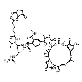 CNC(=O)c1cc(C(=O)N(C)[C@@H](C)C(=O)O[C@H]2CC(=O)N(C)c3cc(cc(OC)c3Cl)C/C(C)=C/C=C/[C@@H](OC)[C@@]3(O)C[C@H](OC(=O)N3)[C@@H](C)[C@@H]3C[C@@]23C)ccc1NC(=O)[C@H](CCCNC(N)=O)NC(=O)[C@@H](NC(=O)CCCCC(=O)ON1C(=O)CCC1=O)C(C)C